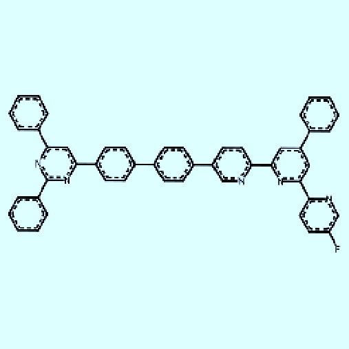 Fc1ccc(-c2cc(-c3ccccc3)cc(-c3ccc(-c4ccc(-c5ccc(-c6cc(-c7ccccc7)nc(-c7ccccc7)n6)cc5)cc4)cn3)n2)nc1